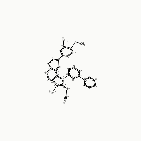 COc1ncc(-c2ccc3ncc4c(c3c2)n(-c2cncc(-c3ccccc3)c2)c(=NC#N)n4C)cc1N